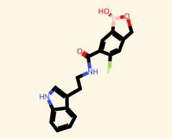 O=C(NCCc1c[nH]c2ccccc12)c1cc2c(cc1F)COB2O